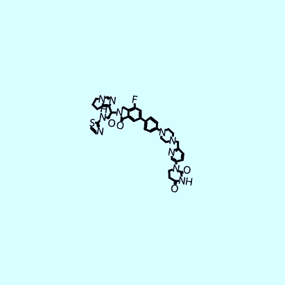 O=C1CCN(c2ccc(CN3CCN(c4ccc(-c5cc(F)c6c(c5)C(=O)N(C(C(=O)Nc5nccs5)c5ncn7c5CCC7)C6)cc4)CC3)nc2)C(=O)N1